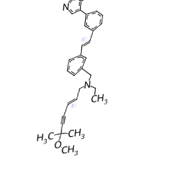 CCN(C/C=C/C#CC(C)(C)OC)Cc1cccc(/C=C/c2cccc(-c3cnco3)c2)c1